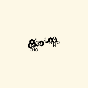 O=CC1C=Cc2ccc(F)c3c2N1CC3(O)CN1CCC(NCc2ccc3c(n2)NC(=O)CO3)CC1